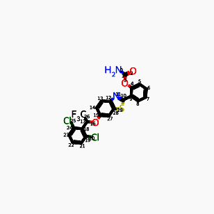 NC(=O)Oc1ccccc1-c1nc2ccc(OC(c3c(Cl)cccc3Cl)C(F)(F)F)cc2s1